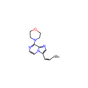 CCCC/C=C\c1cnc2c(N3CCOCC3)nccn12